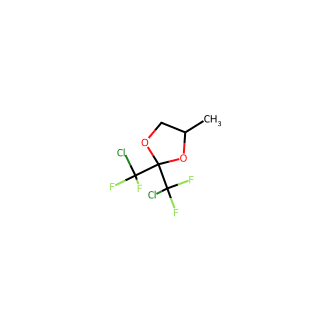 CC1COC(C(F)(F)Cl)(C(F)(F)Cl)O1